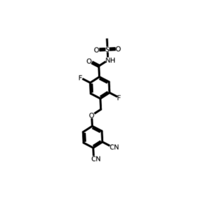 CS(=O)(=O)NC(=O)c1cc(F)c(COc2ccc(C#N)c(C#N)c2)cc1F